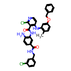 Cc1ccc(OCc2ccccc2)cc1Nc1ccnc(Cl)c1C(=O)Nc1cc(C(=O)NCc2cccc(Cl)c2)ccc1N